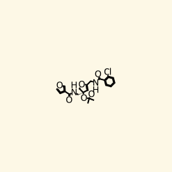 CC1(C)OC2=C(CNC(=O)c3ccccc3Cl)OC[C@]2(CNC(=O)c2ccoc2)O1